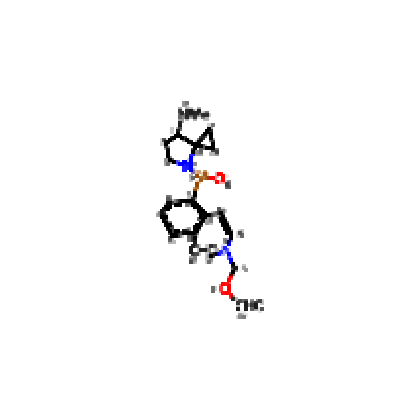 CNC1CCN([S+]([O-])c2cccc(C=O)c2/C=C\N(C)COC=O)C12CC2